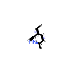 C#CC(/C=C\C(C)=N)=C/C